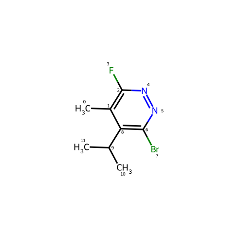 Cc1c(F)nnc(Br)c1C(C)C